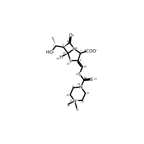 C[C@@H](O)[C@H]1C(=O)N2C(C(=O)[O-])C(=CSC(=S)N3CC[N+](C)(C)CC3)S[C@H]12